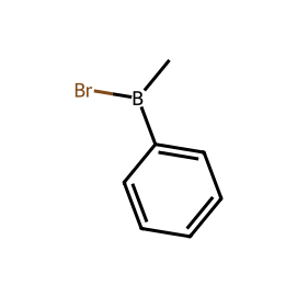 CB(Br)c1ccccc1